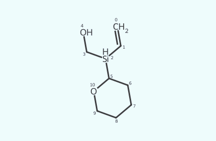 C=C[SiH](CO)C1CCCCO1